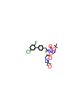 CCOC(=O)[C@@H](C[C@@H](Cc1ccc(-c2cc(Cl)ccc2F)cc1)NC(=O)OC(C)(C)C)CN1CC2(COC2)C1